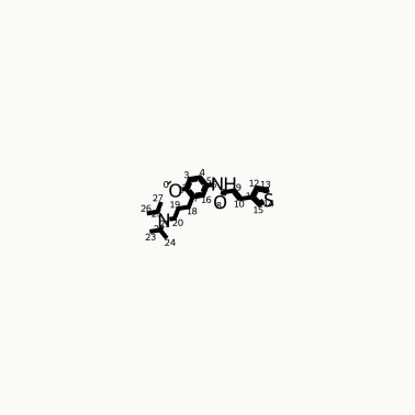 COc1ccc(NC(=O)/C=C/c2ccsc2)cc1CCCN(C(C)C)C(C)C